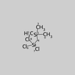 C[Si](C)(C)C[Si](Cl)(Cl)Cl